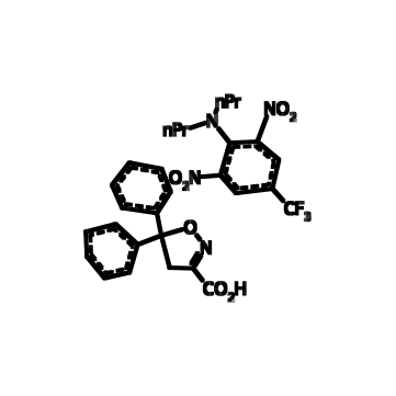 CCCN(CCC)c1c([N+](=O)[O-])cc(C(F)(F)F)cc1[N+](=O)[O-].O=C(O)C1=NOC(c2ccccc2)(c2ccccc2)C1